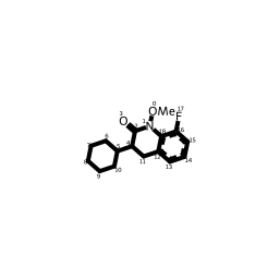 CON1C(=O)C(C2CCCCC2)Cc2cccc(F)c21